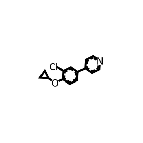 Clc1cc(-c2ccncc2)ccc1OC1CC1